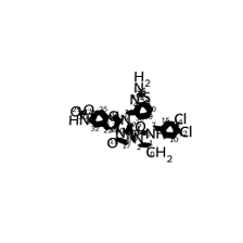 C=CCN(C(=O)NCc1ccc(Cl)c(Cl)c1)N1CC(=O)N2[C@@H](Cc3ccc4oc(=O)[nH]c4c3)C(=O)N(Cc3cccc4sc(N)nc34)C[C@@H]21